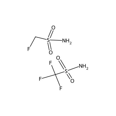 NS(=O)(=O)C(F)(F)F.NS(=O)(=O)CF